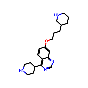 c1nc(C2CCNCC2)c2ccc(OCCCC3CCCNC3)cc2n1